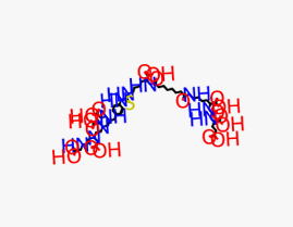 O=C(O)CCC(NC(=O)NC(CCCCNC(=O)CCCCCCC(=O)NC(CCCCNC(=S)Nc1ccc(CC(CN(CCN(CCNCC(=O)O)CC(=O)O)CC(=O)O)NCC(=O)O)cc1)C(=O)O)C(=O)O)C(=O)O